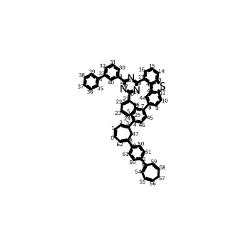 C1=CC=C(c2ccc(-c3ccc4sc5cccc(-c6nc(C7=CC=CCC7)nc(-c7cccc(-c8ccccc8)c7)n6)c5c4c3)cc2)CC(c2ccc(C3=CC=CCC=C3)cc2)=C1